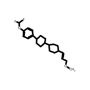 COC/C=C/C1CCC(C2CCC(c3ccc(OC(F)F)cc3)CC2)CC1